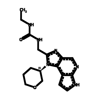 CCNC(=O)NCc1nc2cnc3[nH]ccc3c2n1[C@H]1CCCOC1